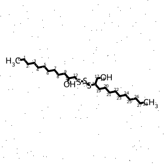 CCCCCCCCCCC(O)CSSSC(CO)CCCCCCCCCC